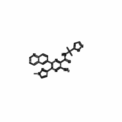 Cn1ccc(-c2nc(N)c(C(=O)NC(C)(C)c3ccno3)nc2-c2ccc3ncccc3c2)n1